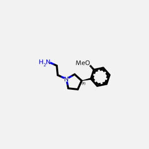 COc1ccccc1[C@H]1CCN(CCN)C1